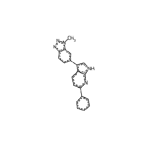 Cn1nnc2ccc(-c3c[nH]c4nc(-c5ccccc5)ccc34)cc21